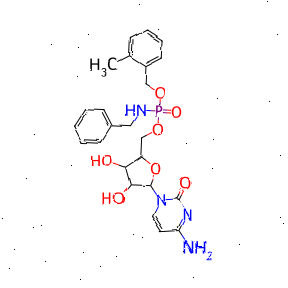 Cc1ccccc1COP(=O)(NCc1ccccc1)OCC1OC(n2ccc(N)nc2=O)C(O)C1O